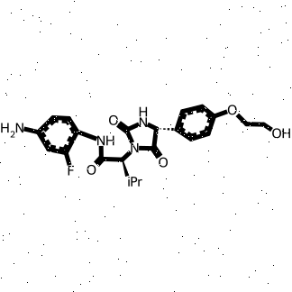 CC(C)[C@@H](C(=O)Nc1ccc(N)cc1F)N1C(=O)N[C@H](c2ccc(OCCO)cc2)C1=O